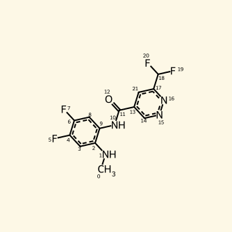 CNc1cc(F)c(F)cc1NC(=O)c1cnnc(C(F)F)c1